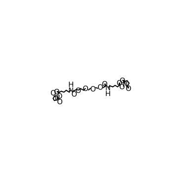 O=C(COCCOCCOCCOCC(=O)NCCCCC(=O)ON1C(=O)CCC1=O)NCCCCC(=O)ON1C(=O)CCC1=O